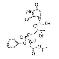 CC(C)OC(=O)[C@H](C)NP(=O)(OC[C@H]1O[C@@H](n2ccc(=O)[nH]c2=O)C(O)[C@]1(C)O)Oc1ccccc1